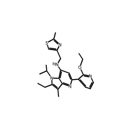 CCOc1ncccc1-c1cc(NCc2csc(C)n2)c2c(n1)c(C)c(CC)n2C(C)C